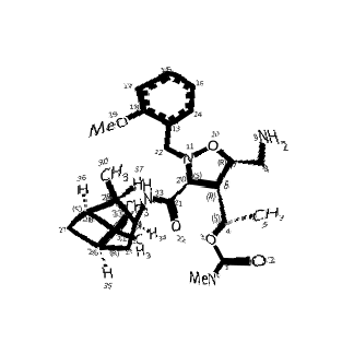 CNC(=O)O[C@@H](C)[C@@H]1[C@H](CN)ON(Cc2ccccc2OC)[C@@H]1C(=O)N[C@H]1C[C@H]2C[C@@H]([C@@H]1C)C2(C)C